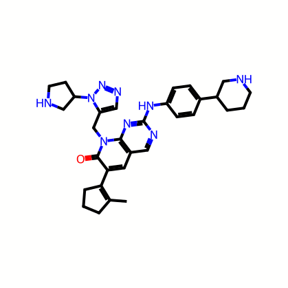 CC1=C(c2cc3cnc(Nc4ccc(C5CCCNC5)cc4)nc3n(Cc3cnnn3C3CCNC3)c2=O)CCC1